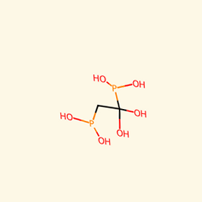 OP(O)CC(O)(O)P(O)O